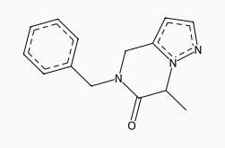 CC1C(=O)N(Cc2ccccc2)Cc2ccnn21